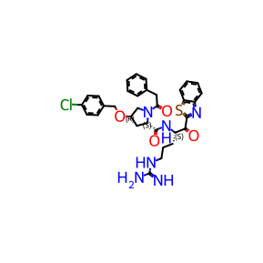 N=C(N)NCCC[C@H](NC(=O)[C@@H]1C[C@@H](OCc2ccc(Cl)cc2)CN1C(=O)Cc1ccccc1)C(=O)c1nc2ccccc2s1